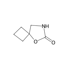 O=C1NCC2(CCC2)O1